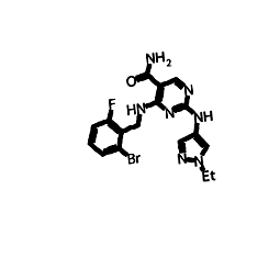 CCn1cc(Nc2ncc(C(N)=O)c(NCc3c(F)cccc3Br)n2)cn1